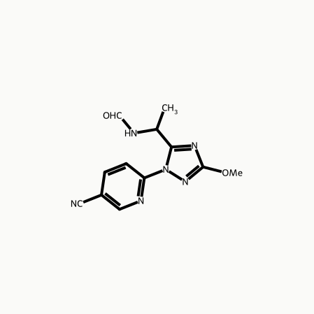 COc1nc(C(C)NC=O)n(-c2ccc(C#N)cn2)n1